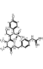 CC(C(=O)NCc1ccc(NC(=N)N)cc1)N(C)C(=O)C(CO)N(c1ccc(Cl)cc1)S(C)(=O)=O